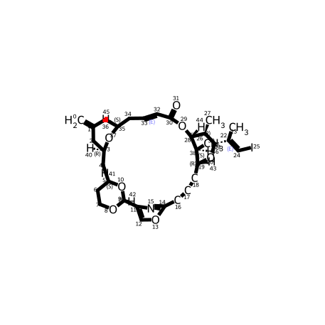 C=C1C[C@@H]2C[C@@H]3CCO[C@@H](O3)c3coc(n3)CCC[C@H]3O[C@@H](/C(C)=C/I)[C@H](C)[C@@H](OC(=O)/C=C/C[C@@H](C1)O2)[C@H]3C